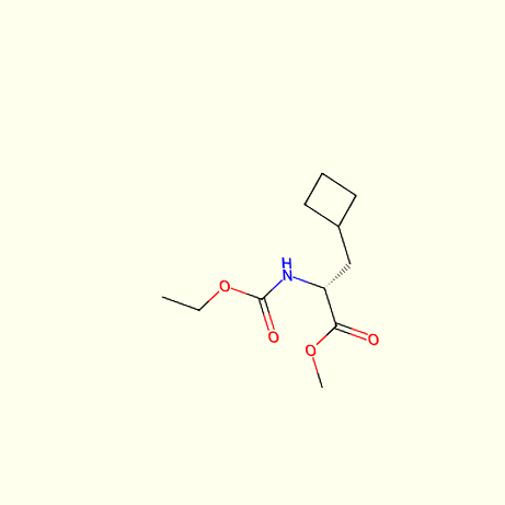 CCOC(=O)N[C@H](CC1CCC1)C(=O)OC